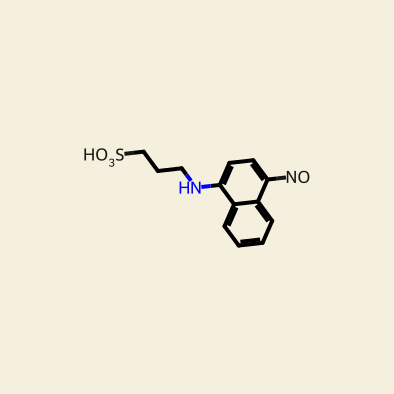 O=Nc1ccc(NCCCS(=O)(=O)O)c2ccccc12